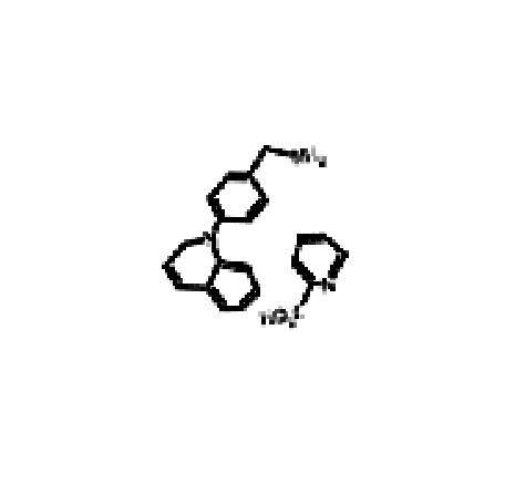 NCc1ccc(N2CC=Cc3ccccc32)cc1.O=C(O)c1ccccn1